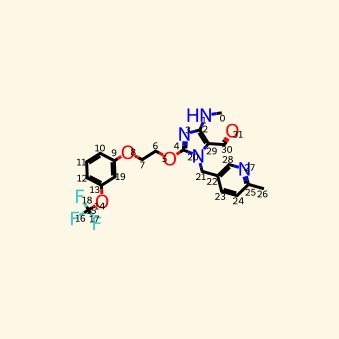 CNc1nc(OCCOc2cccc(OC(F)(F)F)c2)n(Cc2ccc(C)nc2)c1C=O